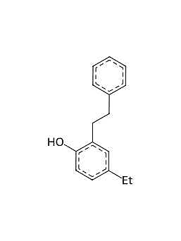 CCc1ccc(O)c(CCc2ccccc2)c1